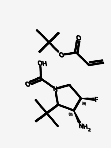 C=CC(=O)OC(C)(C)C.CC(C)(C)C1[C@H](N)[C@H](F)CN1C(=O)O